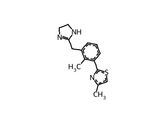 Cc1csc(-c2cccc(CC3=NCCN3)c2C)n1